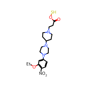 CCOc1cc(N2CCN(C3CCN(CCC(=O)OS)CC3)CC2)ccc1[N+](=O)[O-]